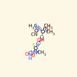 Cc1cc2c(N3CCN(C)c4ccc(C#N)cc43)cc(C3CCN(CC4(O)CCN(c5cc6c(cc5F)c(N5CCC(=O)NC5=O)nn6C)CC4)CC3)cc2n(C)c1=O